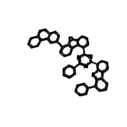 c1ccc(-c2nc(-c3cccc4c3sc3c(-c5ccccc5)cccc34)nc(-c3cccc4oc5c(-c6ccc7ccc8ccccc8c7c6)cccc5c34)n2)cc1